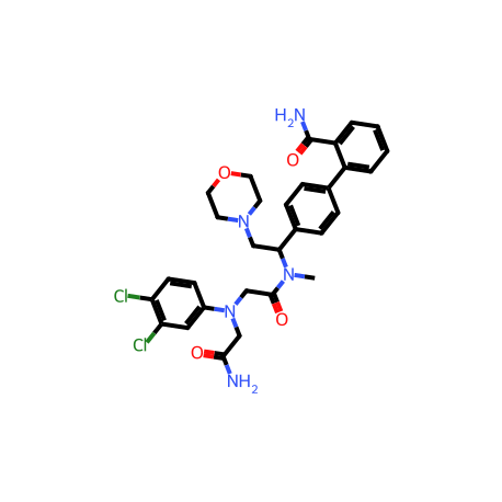 CN(C(=O)CN(CC(N)=O)c1ccc(Cl)c(Cl)c1)C(CN1CCOCC1)c1ccc(-c2ccccc2C(N)=O)cc1